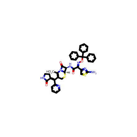 Nc1nc(C(=NOC(c2ccccc2)(c2ccccc2)c2ccccc2)C(=O)N[C@@H]2C(=O)N3C(C(=O)O)=C(C(=C4CCNC4=O)c4ccccn4)CS[C@H]23)cs1